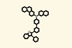 c1ccc(-c2c(-c3cccc(-c4ccc(N(c5ccc6ccccc6c5)c5ccc6c(ccc7ccccc76)c5)cc4)c3)oc3ccccc23)cc1